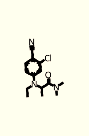 CCN(c1ccc(C#N)c(Cl)c1)C(C)C(=O)N(C)C